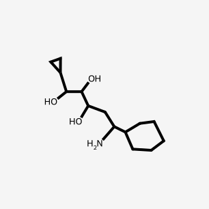 NC(CC(O)C(O)C(O)C1CC1)C1CCCCC1